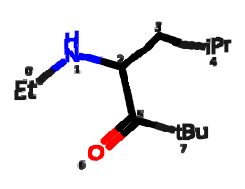 CCNC(CC(C)C)C(=O)C(C)(C)C